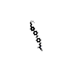 CCCCc1ccc([C@H]2CC[C@H](CC[C@H]3CC[C@H](CC/C=C(\F)C#N)CC3)CC2)cc1